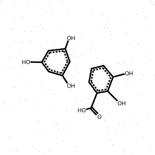 O=C(O)c1cccc(O)c1O.Oc1cc(O)cc(O)c1